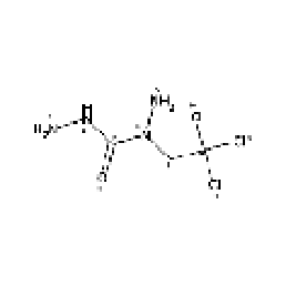 NNC(=O)N(N)CC(Cl)(Cl)Cl